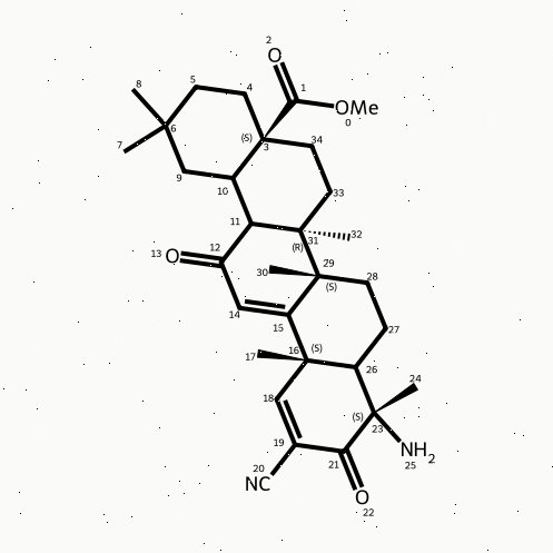 COC(=O)[C@]12CCC(C)(C)CC1C1C(=O)C=C3[C@@]4(C)C=C(C#N)C(=O)[C@@](C)(N)C4CC[C@@]3(C)[C@]1(C)CC2